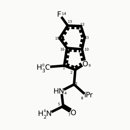 Cc1c(C(NC(N)=O)C(C)C)oc2ccc(F)cc12